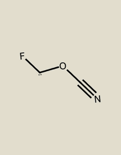 N#CO[C]F